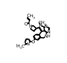 C/C=C/C(=O)N1CCC(c2c3c4c(ncnc4n2C)NCc2cc(Oc4cccc(C)n4)ccc2-3)C1